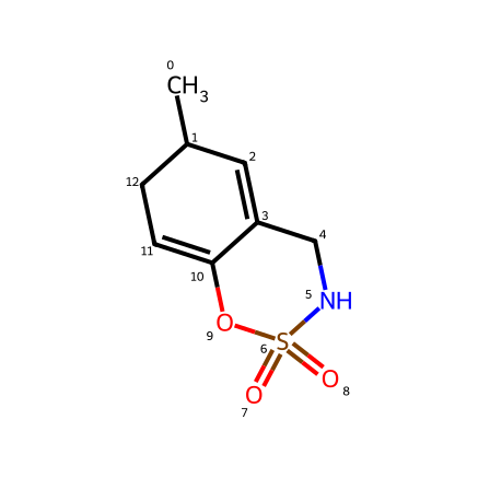 CC1C=C2CNS(=O)(=O)OC2=CC1